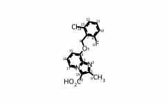 Cc1nc2c(OCc3c(F)cccc3Cl)cccn2c1C(=O)O